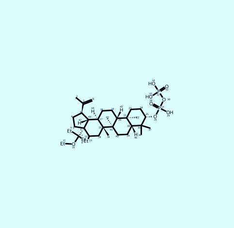 C=C(C)[C@@H]1CC[C@]2(C(CC)(CC)OCC)C(CC)C[C@]3(C)[C@H](CC[C@@H]4[C@@]5(C)CC[C@H](OP(=O)(O)OP(=O)(O)O)C(C)(C)[C@@H]5CC[C@]43C)[C@@H]12